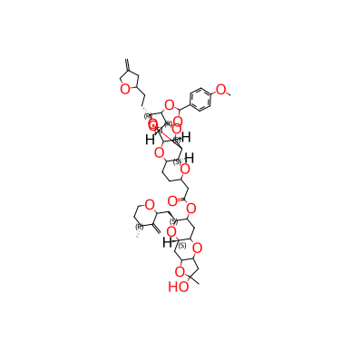 C=C1COC(CC[C@]23OC4[C@H]5O[C@@]6(OC(c7ccc(OC)cc7)OC26)[C@@H](O3)C5OC2CCC(CC(=O)OC3CC5OC6CC(C)(O)OC6C[C@@H]5O[C@H]3CC3OCC[C@@H](C)C3=C)O[C@@H]24)C1